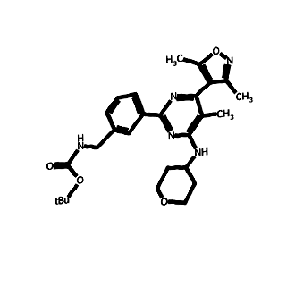 Cc1noc(C)c1-c1nc(-c2cccc(CNC(=O)OC(C)(C)C)c2)nc(NC2CCOCC2)c1C